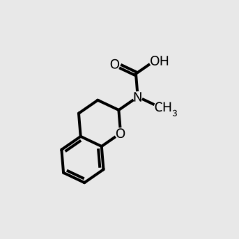 CN(C(=O)O)C1CCc2ccccc2O1